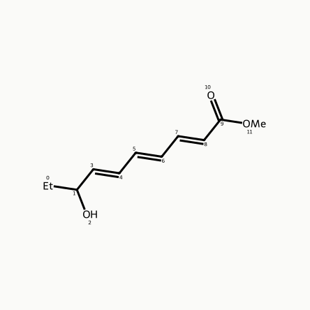 CCC(O)/C=C/C=C/C=C/C(=O)OC